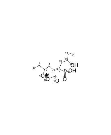 CCC(O)C/C(C(=O)O)=C(\CC(O)CC)C(=O)O